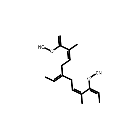 C=C(OC#N)/C(C)=C\C/C(=C\C)C/C=C(C)\C(=C/C)OC#N